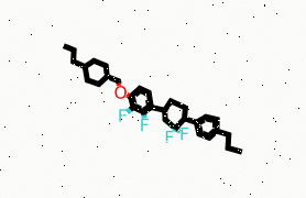 CCCc1ccc(C2CCC(c3ccc(OCC4CCC(CCC)CC4)c(F)c3F)CC2(F)F)cc1